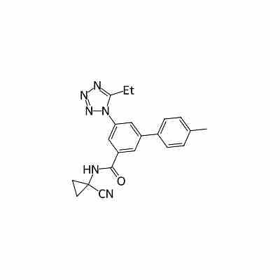 CCc1nnnn1-c1cc(C(=O)NC2(C#N)CC2)cc(-c2ccc(C)cc2)c1